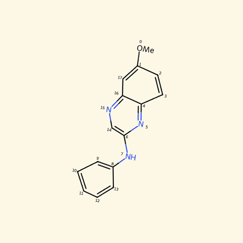 COc1ccc2nc(Nc3ccccc3)cnc2c1